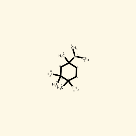 CN(C)C1(C)CCC(C)(C)C(C)(C)C1